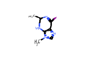 CC1N=C(I)c2ncn(C)c2N1